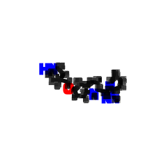 CC1(COc2ccc3nc(-c4nnc5ccccn45)ccc3c2)CCNCC1